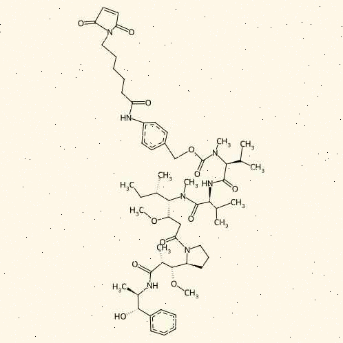 CC[C@H](C)[C@@H](C(CC(=O)N1CCC[C@H]1[C@H](OC)[C@@H](C)C(=O)N[C@H](C)[C@@H](O)c1ccccc1)OC)N(C)C(=O)[C@@H](NC(=O)[C@H](C(C)C)N(C)C(=O)OCc1ccc(NC(=O)CCCCCN2C(=O)C=CC2=O)cc1)C(C)C